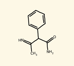 CC(=N)C(C(N)=O)c1ccccc1